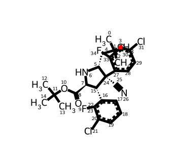 CC(C)(C)C[C@H]1N[C@H](C(=O)OC(C)(C)C)[C@@H](c2cccc(Cl)c2F)[C@]1(C#N)c1ccc(Cl)cc1F